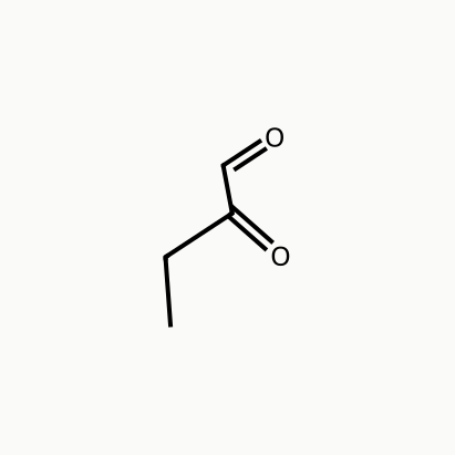 CCC(=O)C=O